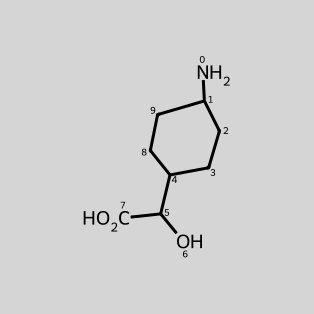 NC1CCC(C(O)C(=O)O)CC1